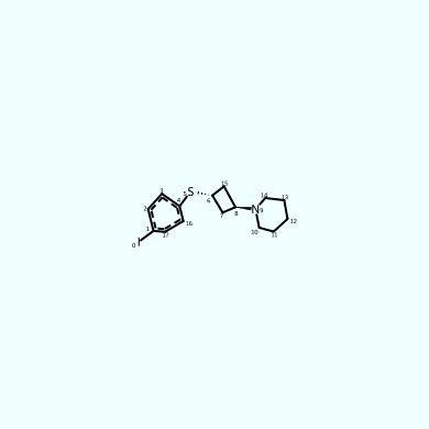 Ic1ccc(S[C@H]2C[C@H](N3CCCCC3)C2)cc1